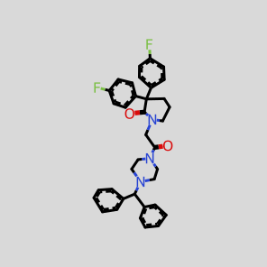 O=C(CN1CCCC(c2ccc(F)cc2)(c2ccc(F)cc2)C1=O)N1CCN(C(c2ccccc2)c2ccccc2)CC1